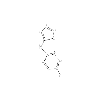 Cc1cc[c]([Ti][C]2=CC=CC2)cc1